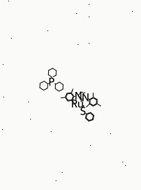 C1CCC(P(C2CCCCC2)C2CCCCC2)CC1.Cc1cc(C)c(N2CCN(c3c(C)cc(C)cc3C)[C]2=[Ru]=[CH]Sc2ccccc2)c(C)c1